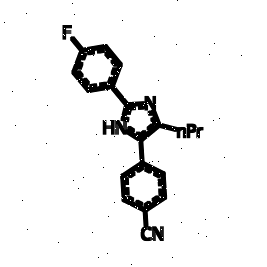 CCCc1nc(-c2ccc(F)cc2)[nH]c1-c1ccc(C#N)cc1